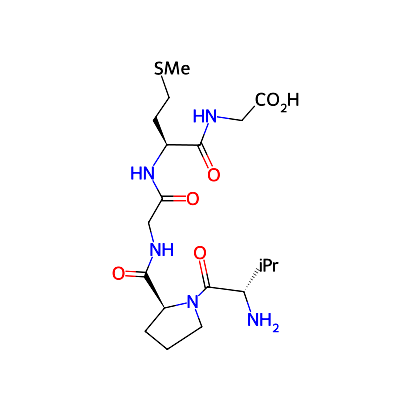 CSCC[C@H](NC(=O)CNC(=O)[C@@H]1CCCN1C(=O)[C@@H](N)C(C)C)C(=O)NCC(=O)O